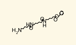 NCCCCCC(=O)NCCCCCC(=O)NCCCCCC(=O)OCc1ccccc1